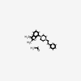 Cc1oc2c(N3CCN(CCc4ccccn4)CC3)cccc2c1C.NC=O